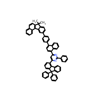 CC1(C)c2ccc(-c3ccc(-c4ccc(-c5cc(-c6cccc7c6-c6ccccc6C7(c6ccccc6)c6ccccc6)nc(-c6ccccc6)n5)c5ccccc45)cc3)cc2-c2c1ccc1ccccc21